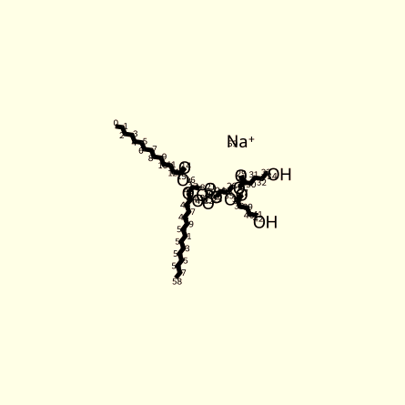 CCCCCCCCCCCCCC(=O)OC[C@H](COP(=O)([O-])OCC(COC(=O)CCCCO)OC(=O)CCCCO)OC(=O)CCCCCCCCCCCCC.[Na+]